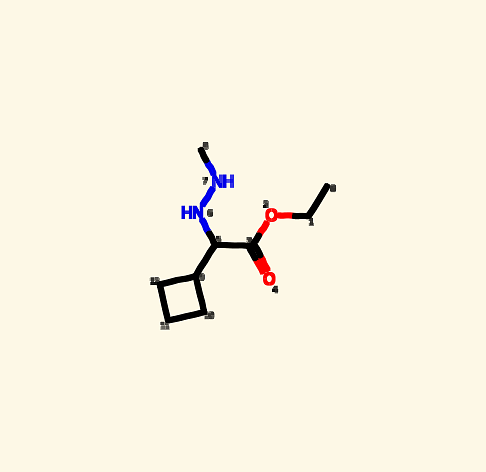 CCOC(=O)C(NNC)C1CCC1